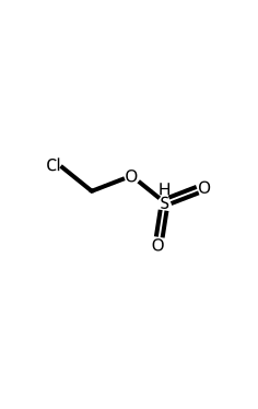 O=[SH](=O)OCCl